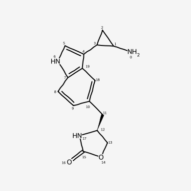 NC1CC1c1c[nH]c2ccc(C[C@H]3COC(=O)N3)cc12